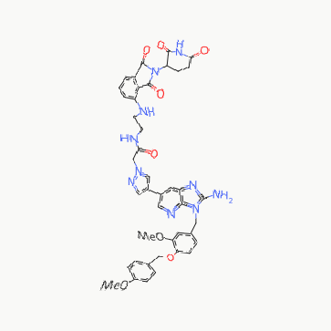 COc1ccc(COc2ccc(Cn3c(N)nc4cc(-c5cnn(CC(=O)NCCNc6cccc7c6C(=O)N(C6CCC(=O)NC6=O)C7=O)c5)cnc43)cc2OC)cc1